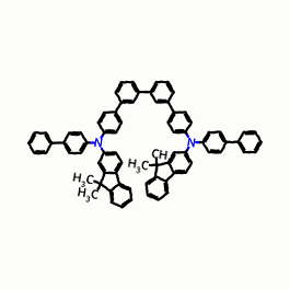 CC1(C)c2ccccc2-c2ccc(N(c3ccc(-c4ccccc4)cc3)c3ccc(-c4cccc(-c5cccc(-c6ccc(N(c7ccc(-c8ccccc8)cc7)c7ccc8c(c7)C(C)(C)c7ccccc7-8)cc6)c5)c4)cc3)cc21